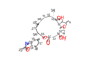 C=CC[C@H]1C(=O)C(C)(C)[C@@H](O)CC(=O)O[C@H](c2ccc3oc(C)nc3c2)C/C=C(/C)CCC[C@H](C)[C@@H]1O